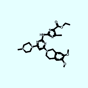 CCOC(=O)c1sc(Nc2nc(N3CCN(C)CC3)cc(N3CCc4cc(OC)c(OC)cc4C3)n2)nc1C